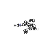 CC[C@H](C)[C@@H](C(=O)N[C@H](CCN(CC(C)C)S(=O)(=O)c1ccc(/C=N/O)cc1)Cc1ccccc1)N1CCN(Cc2cccnn2)C1=O